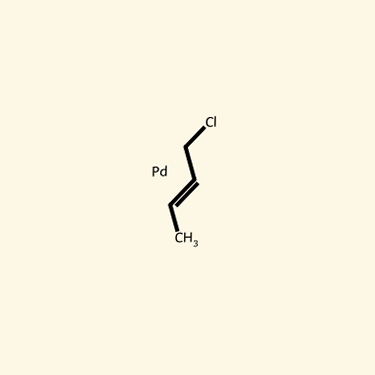 CC=CCCl.[Pd]